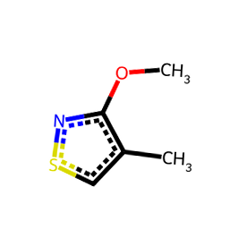 COc1nscc1C